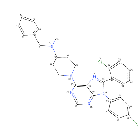 CN(Cc1ccccc1)C1CCN(c2ncnc3c2nc(-c2ccccc2Cl)n3-c2ccc(Cl)cc2)CC1